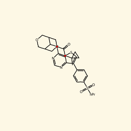 CCCS(=O)(=O)c1ccc(-c2csc3c(OC4C5COCC4CN(C(=O)OC4(C)CC4)C5)ncnc23)cc1